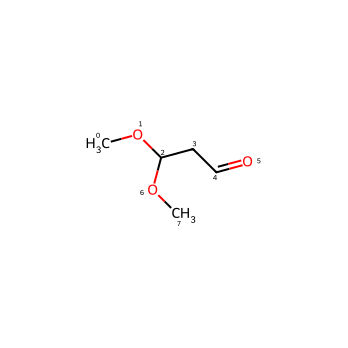 COC(CC=O)OC